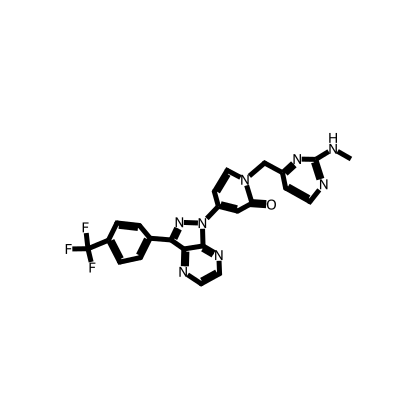 CNc1nccc(Cn2ccc(-n3nc(-c4ccc(C(F)(F)F)cc4)c4nccnc43)cc2=O)n1